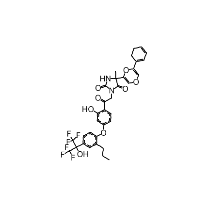 CCCc1cc(C(O)(C(F)(F)F)C(F)(F)F)ccc1Oc1ccc(C(=O)CN2C(=O)NC(C)(C3=COC=C(C4=CC=CCC4)O3)C2=O)c(O)c1